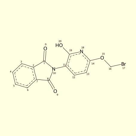 O=C1c2ccccc2C(=O)N1c1ccc(OCBr)nc1O